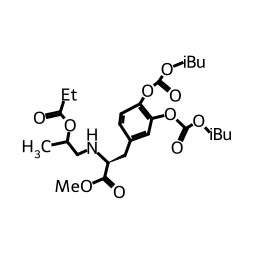 CCC(=O)OC(C)CN[C@@H](Cc1ccc(OC(=O)OC(C)CC)c(OC(=O)OC(C)CC)c1)C(=O)OC